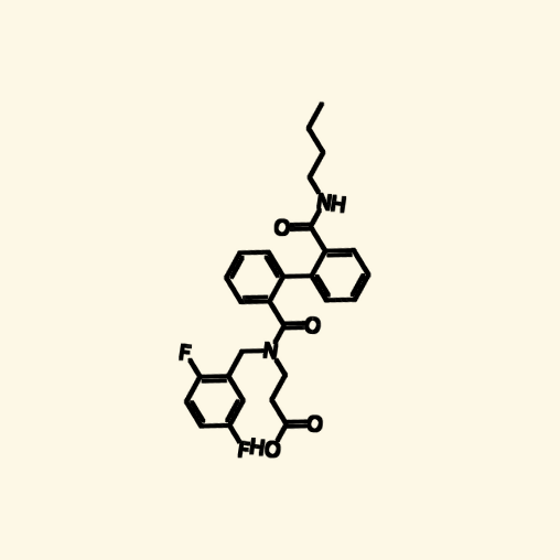 CCCCNC(=O)c1ccccc1-c1ccccc1C(=O)N(CCC(=O)O)Cc1cc(F)ccc1F